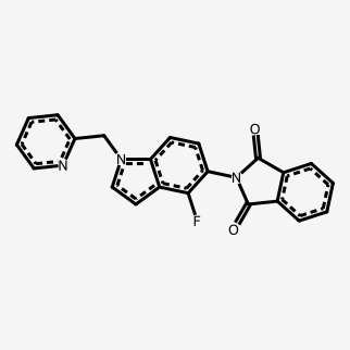 O=C1c2ccccc2C(=O)N1c1ccc2c(ccn2Cc2ccccn2)c1F